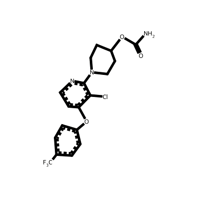 NC(=O)OC1CCN(c2nccc(Oc3ccc(C(F)(F)F)cc3)c2Cl)CC1